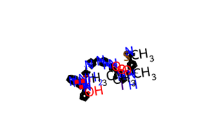 Cc1ncsc1-c1ccc([C@H](C)NC(=O)[C@@H]2C[C@@H](I)CN2C(=O)[C@H](c2cc(N3CCN(CC4CCN(C[C@H]5C[C@H](Oc6cc(N7C8CCC7CN(c7cc(-c9ccccc9O)nnc7N)C8)ccn6)C5)CC4)CC3)no2)C(C)C)cc1